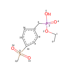 CCOP(=O)(O)Cc1ccc(S(C)(=O)=O)cc1